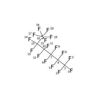 FC(F)(F)C(F)(F)C(F)(F)C(F)(F)C(F)(F)S(F)(F)(F)(F)F